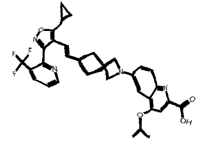 CC(C)Oc1cc(C(=O)O)nc2ccc(N3CC4(CC(C=Cc5c(-c6ncccc6C(F)(F)F)noc5C5CC5)C4)C3)cc12